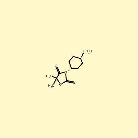 CC1(C)OC(=O)N([C@H]2CC[C@H](C(=O)O)CC2)C1=O